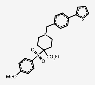 CCOC(=O)C1(S(=O)(=O)c2ccc(OC)cc2)CCN(Cc2ccc(-c3cccs3)cc2)CC1